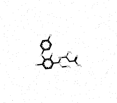 CC[C@@H](N[C@@H](C)CC(N)=O)c1ccc(Cl)c(Oc2ccc(Cl)cc2)c1F